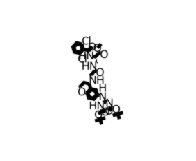 COC(=O)[C@H](CNC(=O)CNC1CCOc2ccc(N/C(=N/C(=O)OC(C)(C)C)NC(=O)OC(C)(C)C)cc21)NC(=O)c1c(Cl)cccc1Cl